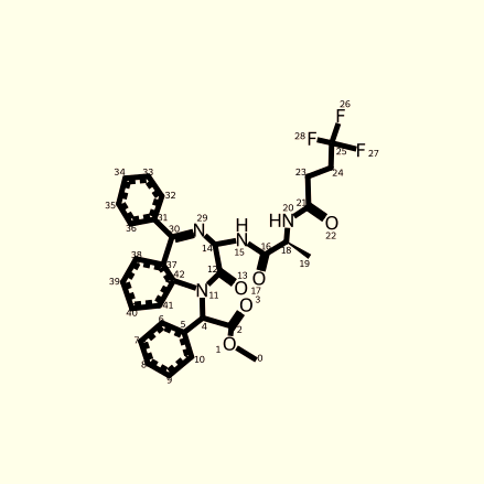 COC(=O)C(c1ccccc1)N1C(=O)C(NC(=O)[C@H](C)NC(=O)CCC(F)(F)F)N=C(c2ccccc2)c2ccccc21